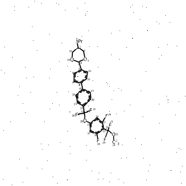 CCCC1COC(c2ccc(-c3ccc(C(F)(F)Oc4cc(F)c(C(F)(F)OC(F)(F)F)c(F)c4)cc3)cc2)OC1